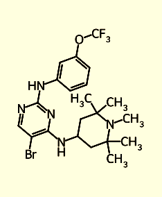 CN1C(C)(C)CC(Nc2nc(Nc3cccc(OC(F)(F)F)c3)ncc2Br)CC1(C)C